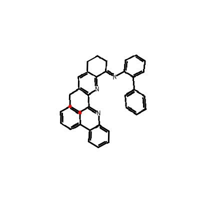 c1ccc(-c2ccccc2N=C2CCCc3cc4c(nc32)C(=Nc2ccccc2-c2ccccc2)CCC4)cc1